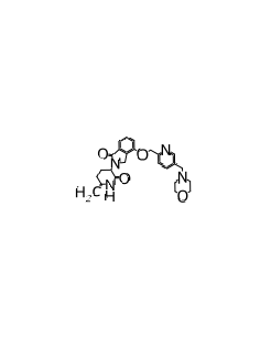 C=C1CCC(N2Cc3c(OCc4ccc(CN5CCOCC5)cn4)cccc3C2=O)C(=O)N1